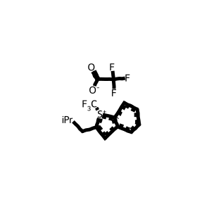 CC(C)Cc1cc2ccccc2[s+]1C(F)(F)F.O=C([O-])C(F)(F)F